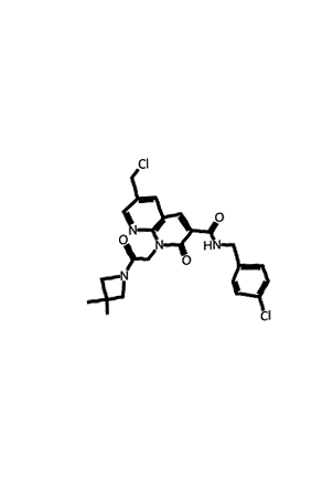 CC1(C)CN(C(=O)Cn2c(=O)c(C(=O)NCc3ccc(Cl)cc3)cc3cc(CCl)cnc32)C1